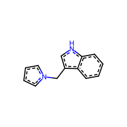 c1ccc2c(Cn3cccc3)c[nH]c2c1